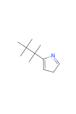 CC(C)(C)C(C)(C)C1=CCC=N1